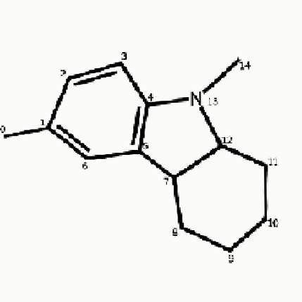 Cc1ccc2c(c1)C1CCCCC1N2C